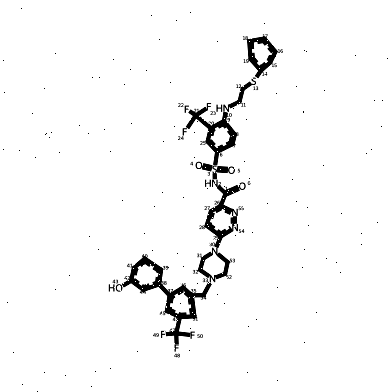 O=C(NS(=O)(=O)c1ccc(NCCSc2ccccc2)c(C(F)(F)F)c1)c1ccc(N2CCN(Cc3cc(-c4cccc(O)c4)cc(C(F)(F)F)c3)CC2)nn1